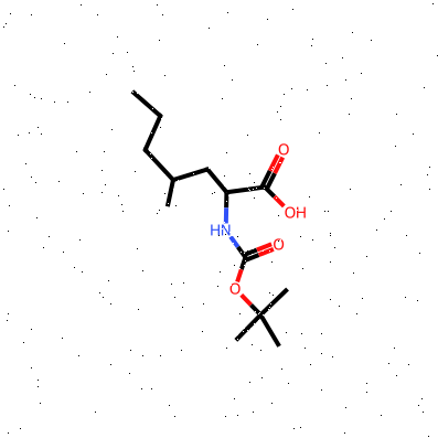 CCCC(C)CC(NC(=O)OC(C)(C)C)C(=O)O